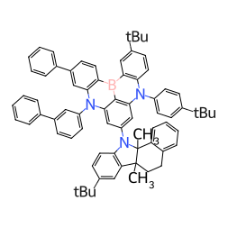 CC(C)(C)c1ccc(N2c3ccc(C(C)(C)C)cc3B3c4ccc(-c5ccccc5)cc4N(c4cccc(-c5ccccc5)c4)c4cc(N5c6ccc(C(C)(C)C)cc6C6(C)CCc7ccccc7C56C)cc2c43)cc1